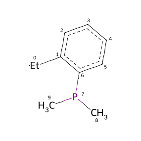 C[CH]c1ccccc1P(C)C